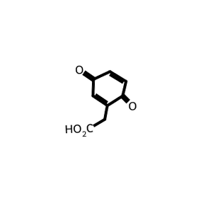 O=C1C=CC(=O)C(CC(=O)O)=C1